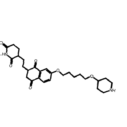 O=C1CCC(CCC2CC(=O)c3ccc(OCCCCCOC4CCNCC4)cc3C2=O)C(=O)N1